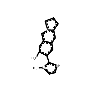 Cc1cc2cn3cccc3cc2cc1-c1[nH]cc[n+]1C